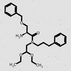 CCOC(CN(CCCc1ccccc1)C(=O)[C@@H](N)COCc1ccccc1)OCC